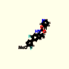 COc1ccc(-c2cc3c(cc2F)[C@H](NC(=O)O[C@@H]2CN4CCC2CC4)C(C)(C)C3)cc1F